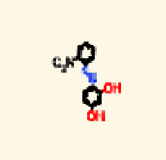 O=[N+]([O-])c1ccccc1/N=N/c1ccc(O)cc1O